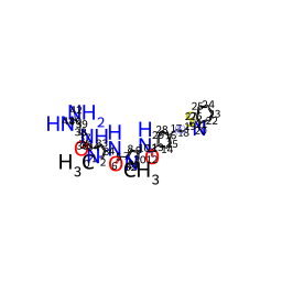 Cn1cc(NC(=O)c2cc(NC(=O)c3ccc(/C=C/c4nc5ccccc5s4)cc3)cn2C)cc1C(=O)NCCC(=N)N